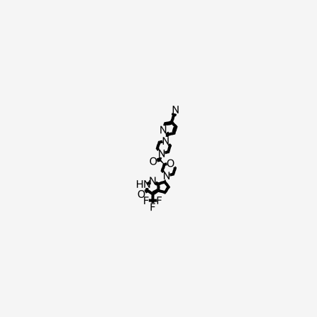 N#Cc1ccc(N2CCN(C(=O)[C@@H]3CN([C@@H]4CCc5c4n[nH]c(=O)c5C(F)(F)F)CCO3)CC2)nc1